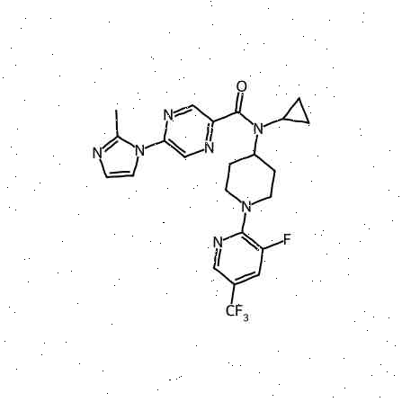 Cc1nccn1-c1cnc(C(=O)N(C2CC2)C2CCN(c3ncc(C(F)(F)F)cc3F)CC2)cn1